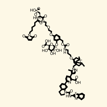 Cc1c(-c2ccc(-c3ccc4c(c3)N(C(=O)Nc3nc5ccccc5s3)CCC4)nc2C(=O)O)cnn1CC12CC3(C)CC(C)(C1)CC(OCCCNC(=O)OCc1ccc(OCCOCCNC(=O)[C@H](CS(=O)(=O)O)NC(=O)CCCCCN4C(=O)C=CC4=O)cc1O[C@@H]1O[C@H](C(=O)O)[C@@H](O)[C@H](O)[C@H]1O)(C3)C2